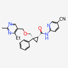 CCc1nc(C)ncc1COC[C@@]1(c2ccccc2)C[C@H]1C(=O)Nc1ccc(C#N)cn1